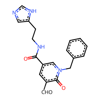 O=Cc1cc(C(=O)NCCc2cnc[nH]2)cn(Cc2ccccc2)c1=O